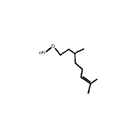 CCCOCCC(C)CCC=C(C)C